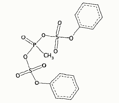 CP(=O)(OS(=O)(=O)Oc1ccccc1)OS(=O)(=O)Oc1ccccc1